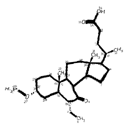 CC[C@H]1C(=O)C2C3CCC([C@H](C)CCC(=O)O)[C@@]3(C)CCC2[C@@]2(C)CC[C@@H](OP)CC12